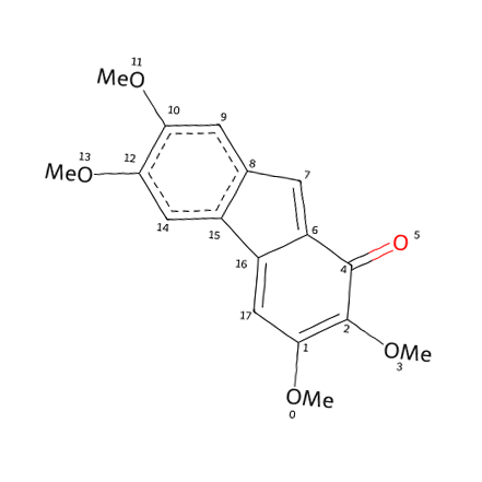 COC1=C(OC)C(=O)C2=Cc3cc(OC)c(OC)cc3C2=C1